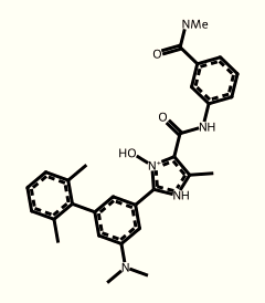 CNC(=O)c1cccc(NC(=O)c2c(C)[nH]c(-c3cc(-c4c(C)cccc4C)cc(N(C)C)c3)[n+]2O)c1